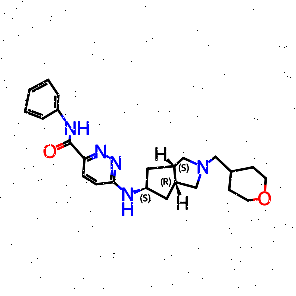 O=C(Nc1ccccc1)c1ccc(N[C@H]2C[C@@H]3CN(CC4CCOCC4)C[C@@H]3C2)nn1